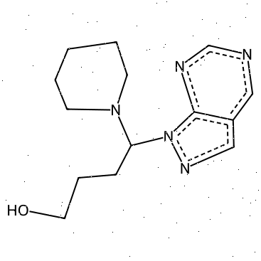 OCCCC(N1CCCCC1)n1ncc2cncnc21